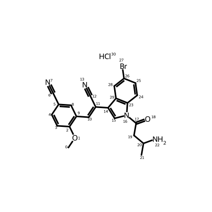 COc1ccc(C#N)cc1C=C(C#N)c1cn(C(=O)CC(C)N)c2ccc(Br)cc12.Cl